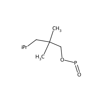 CC(C)CC(C)(C)COP=O